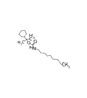 CCCCCCCCCNC(=O)OC(C)(C)C1CCCCC1